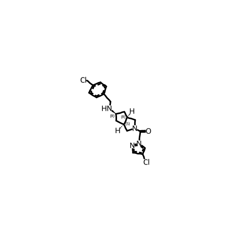 O=C(N1C[C@H]2C[C@@H](NCc3ccc(Cl)cc3)C[C@H]2C1)n1cc(Cl)cn1